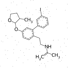 C=C(C)NCCc1ccc(OC2OCCC2C)cc1-c1cccc(I)c1